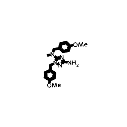 COc1ccc(CN(C)c2nc(N)nn2Cc2ccc(OC)cc2)cc1